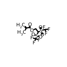 C=C(C)C(=O)OCC(S(=O)(=O)C(F)(F)F)S(=O)(=O)C(F)(F)F